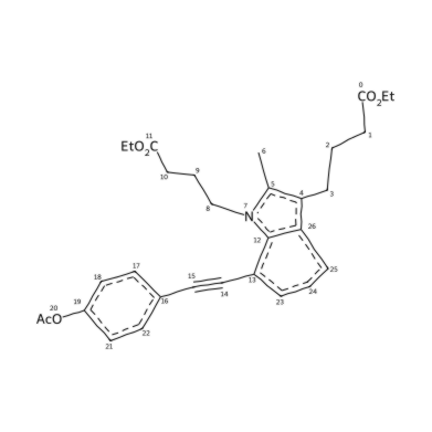 CCOC(=O)CCCc1c(C)n(CCCC(=O)OCC)c2c(C#Cc3ccc(OC(C)=O)cc3)cccc12